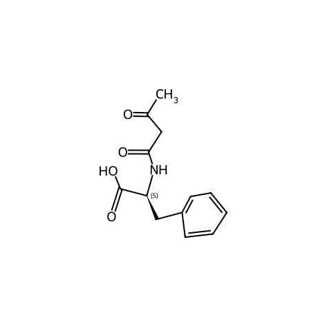 CC(=O)CC(=O)N[C@@H](Cc1ccccc1)C(=O)O